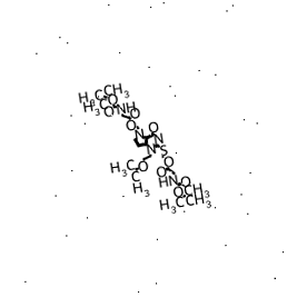 CC(C)OCCn1c(SCOC(=O)CNC(=O)OC(C)(C)C)nc(=O)c2c1ccn2COC(=O)CNC(=O)OC(C)(C)C